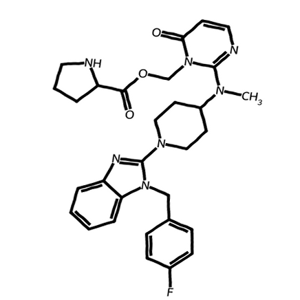 CN(c1nccc(=O)n1COC(=O)C1CCCN1)C1CCN(c2nc3ccccc3n2Cc2ccc(F)cc2)CC1